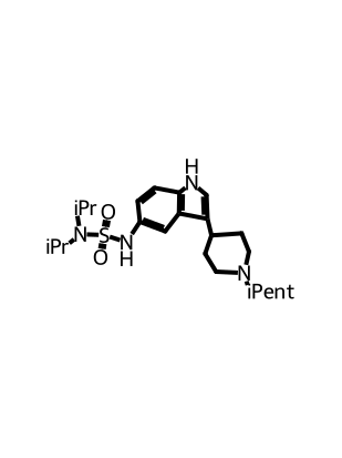 CCCC(C)N1CCC(c2c[nH]c3ccc(NS(=O)(=O)N(C(C)C)C(C)C)cc23)CC1